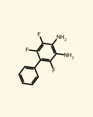 Nc1c(N)c(F)c(-c2ccccc2)c(F)c1F